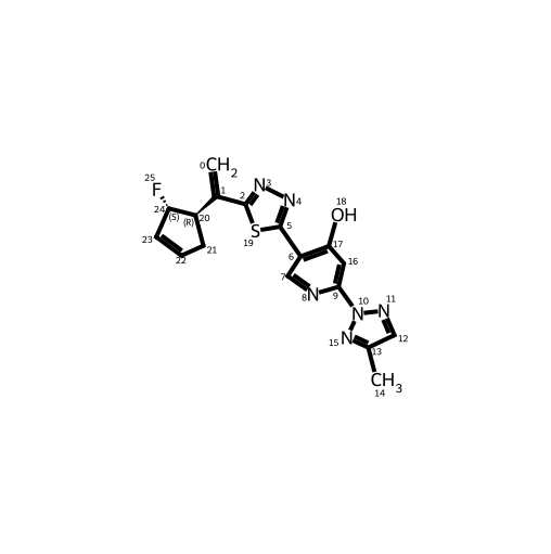 C=C(c1nnc(-c2cnc(-n3ncc(C)n3)cc2O)s1)[C@H]1CC=C[C@@H]1F